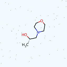 C[C@H](O)CN1CCOCC1